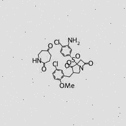 COc1ccc(Cl)cc1CC1CN2C(=O)CC2(S(=O)(=O)c2ccc(Cl)c(N)c2)C1=O.O=C1CCNC(=O)CC1